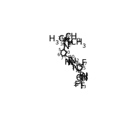 C[C@@H]1CN(c2cccc(-c3cn(Cc4ncc(-c5nnc(C(F)F)o5)cc4F)nn3)c2)C[C@H](C)N1C